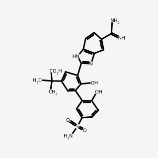 CC(C)(C(=O)O)c1cc(-c2nc3cc(C(=N)N)ccc3[nH]2)c(O)c(-c2cc(S(N)(=O)=O)ccc2O)c1